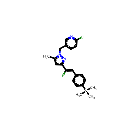 Cc1cc(/C(F)=C/c2ccc([Si](C)(C)C)cc2)nn1Cc1ccc(Cl)nc1